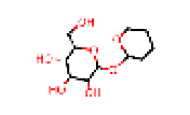 OC[C@H]1OC(OC2CCCCO2)[C@H](O)[C@@H](O)[C@@H]1O